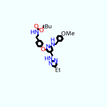 CCc1cnc(NCc2cc(NCc3ccc(OC)cc3)nc(Oc3ccc(CCNC(=O)OC(C)(C)C)cc3)c2)nc1